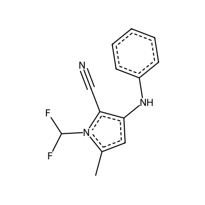 Cc1cc(Nc2ccccc2)c(C#N)n1C(F)F